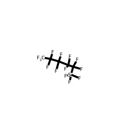 FC(F)(F)C(F)(F)C(F)(F)C(F)(F)C(F)(F)[Si](F)(F)F